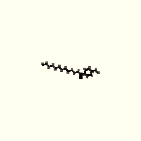 C=Cc1ccc(NCCCCCCCCCCCC)cc1